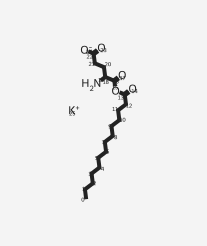 CCCCCCCCCCCCCC(=O)OC(=O)C(N)CCC(=O)[O-].[K+]